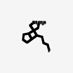 NCC1(CC(=O)O)C(CCCF)C2CCCC21